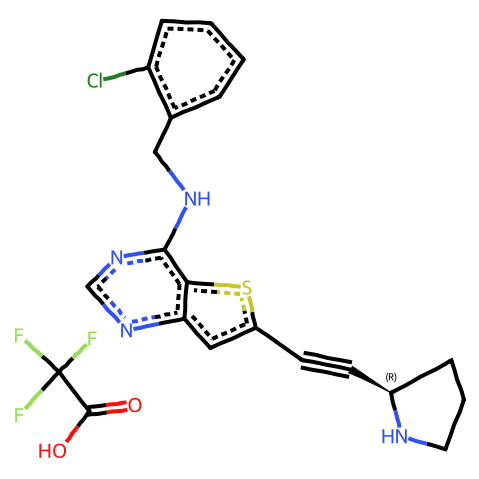 Clc1ccccc1CNc1ncnc2cc(C#C[C@H]3CCCN3)sc12.O=C(O)C(F)(F)F